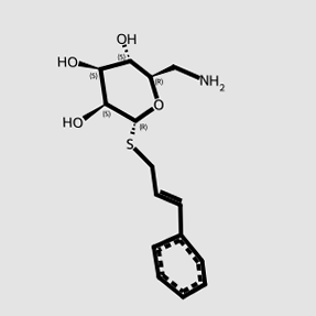 NC[C@H]1O[C@H](SCC=Cc2ccccc2)[C@@H](O)[C@@H](O)[C@@H]1O